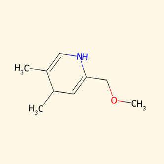 COCC1=CC(C)C(C)=CN1